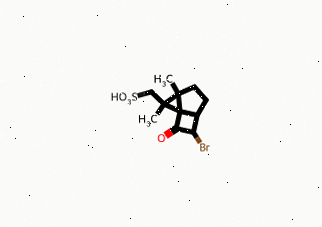 CC12CCC3C(Br)C(=O)C31C2(C)CS(=O)(=O)O